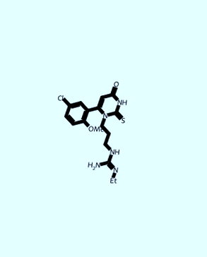 CC/N=C(\N)NCCCn1c(-c2cc(Cl)ccc2OC)cc(=O)[nH]c1=S